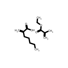 C=C(C)C(=O)OCC.C=C(CCCCC)C(=O)O